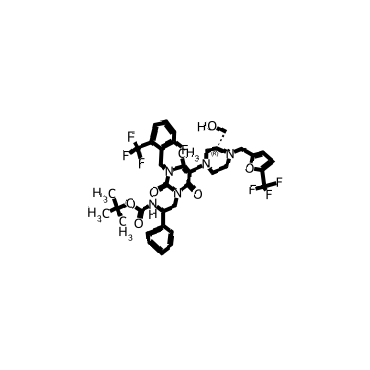 Cc1c(N2CCN(Cc3ccc(C(F)(F)F)o3)[C@@H](CO)C2)c(=O)n(CC(NC(=O)OC(C)(C)C)c2ccccc2)c(=O)n1Cc1c(F)cccc1C(F)(F)F